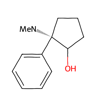 CN[C@]1(c2ccccc2)CCCC1O